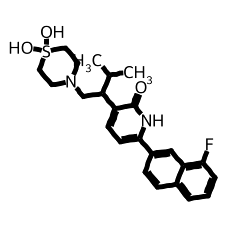 CC(C)C(CN1CCS(O)(O)CC1)c1ccc(-c2ccc3cccc(F)c3c2)[nH]c1=O